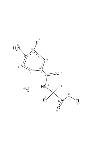 CCC(C)(NC(=O)c1cnc(N)c(Cl)c1)C(=O)CCl.Cl